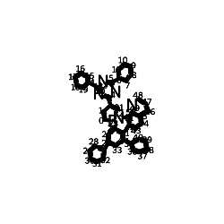 C1=CC(c2nc(-c3ccccc3)nc(-c3ccccc3)n2)=CN2B1c1cc(-c3ccccc3)cc(-c3ccccc3)c1-c1ccc3cccnc3c12